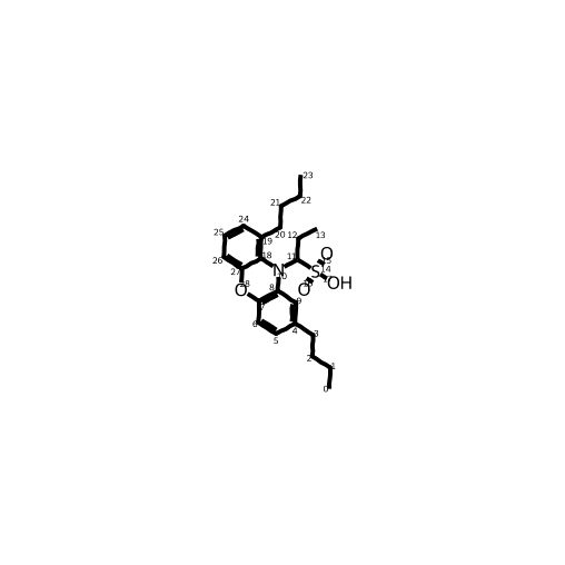 CCCCc1ccc2c(c1)N(C(CC)S(=O)(=O)O)c1c(CCCC)cccc1O2